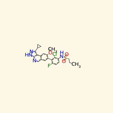 CCCS(=O)(=O)Nc1ccc(F)c(-c2cc3cnc4[nH]nc(C5CC5)c4c3cc2OC)c1Cl